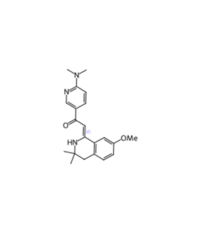 COc1ccc2c(c1)/C(=C/C(=O)c1ccc(N(C)C)nc1)NC(C)(C)C2